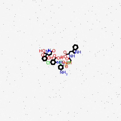 Nc1ccc(Cl)c(S(=O)(=O)O)c1.Nc1ccccc1C(=O)O.O=C(CCl)NC(Cc1c[nH]c2ccccc12)C(=O)O.O=C1C=C(O)C(C(=O)O)(c2cccc(Cl)c2)N=N1